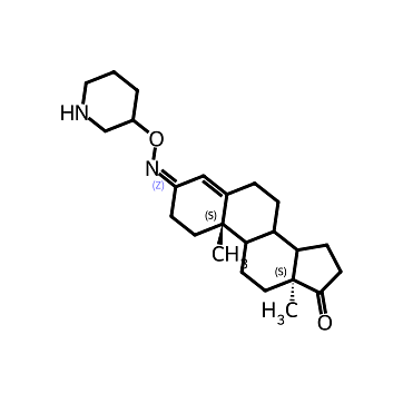 C[C@]12CCC3C(CCC4=C/C(=N\OC5CCCNC5)CC[C@]43C)C1CCC2=O